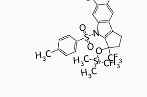 Cc1ccc(S(=O)(=O)n2c3c(c4cc(Cl)c(Cl)cc42)CCC3(O[Si](C)(C)C)C(F)(F)F)cc1